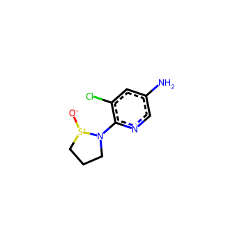 Nc1cnc(N2CCC[S+]2[O-])c(Cl)c1